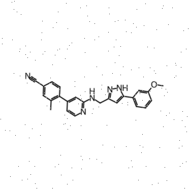 COc1cccc(-c2cc(CNc3cc(-c4ccc(C#N)cc4C)ccn3)n[nH]2)c1